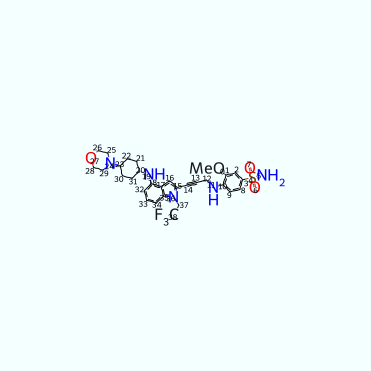 COc1cc(S(N)(=O)=O)ccc1NCC#Cc1cc2c(N[C@H]3CC[C@H](N4CCOCC4)CC3)cccc2n1CC(F)(F)F